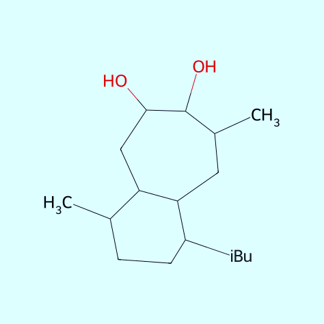 CCC(C)C1CCC(C)C2CC(O)C(O)C(C)CC12